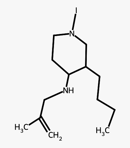 C=C(C)CNC1CCN(I)CC1CCCC